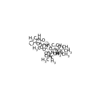 CC[C@H](C)[C@@H]([C@@H](CC(=O)N1CCC[C@H]1[C@H](OC)[C@H]1O[C@@H](c2ccccc2)[C@@H](C)NC1=O)OC)N(C)C(=O)[C@@H](NC(=O)[C@@H](NC)C(C)C)C(C)C